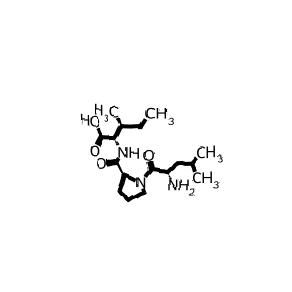 CC[C@H](C)[C@H](NC(=O)[C@@H]1CCCN1C(=O)[C@@H](N)CC(C)C)C(=O)O